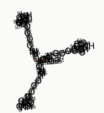 CC(=O)N[C@H]1[C@@H]2OC[C@](COCCOCCOCCOCCn3cc(COCC(COCc4cn(CCOCCOCCOCCOC[C@@]56CO[C@@H](O5)[C@H](NC(C)=O)[C@@H](OC(C)=O)[C@H]6OC(C)=O)nn4)(COCc4cn(CCOCCOCCOCCOC[C@@]56CO[C@@H](O5)[C@H](NC(C)=O)[C@@H](OC(C)=O)[C@H]6OC(C)=O)nn4)NC(=O)CCCOCc4ccccc4)nn3)(O2)[C@H](OC(C)=O)[C@@H]1OC(C)=O